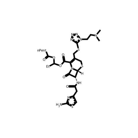 CCCCCC(=O)OC(CC)OC(=O)C1=C(CSc2nnnn2CCN(C)C)CS[C@@H]2[C@H](NC(=O)Cc3csc(N)n3)C(=O)N12